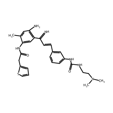 Cc1cc(N)c(C(=N)/C=C/c2cccc(NC(=O)NCCN(C)C)c2)cc1NC(=O)Cc1cccs1